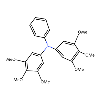 COc1cc(N(c2ccccc2)c2cc(OC)c(OC)c(OC)c2)cc(OC)c1OC